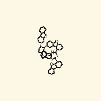 c1ccc(-c2nc(-c3cccc4c3oc3ccccc34)nc(-c3cccc4oc5ccc(-c6c(-c7ccc8c(c7)sc7ccccc78)ccc7sc8ccccc8c67)cc5c34)n2)cc1